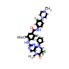 COc1cc(C(=O)Nc2ccc(N3CCN(C)CC3)c(F)c2)c(F)cc1Nc1ncc2c(n1)N(C1CCCC1)CC(F)(F)C(=O)N2C